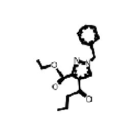 CCCC(=O)c1cn(Cc2ccccc2)nc1C(=O)OCC